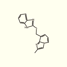 Cc1cn2cccc(CSc3nc4ccccc4[nH]3)c2n1